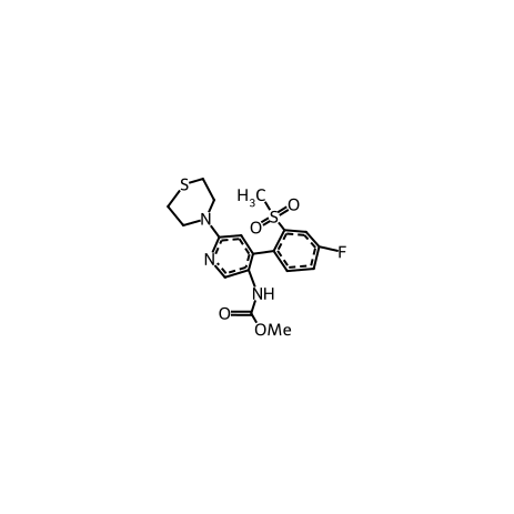 COC(=O)Nc1cnc(N2CCSCC2)cc1-c1ccc(F)cc1S(C)(=O)=O